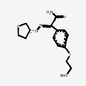 COCCSc1ccc(/C(=N\O[C@@H]2CCOC2)C(N)=O)cc1